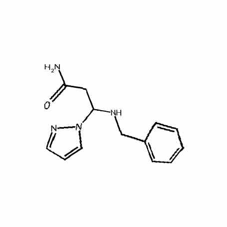 NC(=O)CC(NCc1ccccc1)n1cccn1